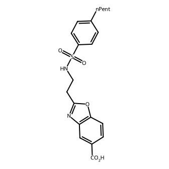 CCCCCc1ccc(S(=O)(=O)NCCc2nc3cc(C(=O)O)ccc3o2)cc1